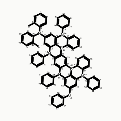 Cc1ccccc1N(c1cc2c3c(c1)N(c1ccccc1)c1cc4c(cc1B3c1ccccc1N2c1ccccc1)B1c2ccccc2N(c2ccccc2)c2cc(Oc3ccccc3)cc(c21)N4c1ccccc1)c1ccccc1C